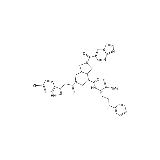 CNC(=O)[C@H](CCCc1ccccc1)NC(=O)C1CN(C(=O)Cc2c[nH]c3cc(Cl)ccc23)CC2CN(C(=O)c3cnc4nccn4c3)CC21